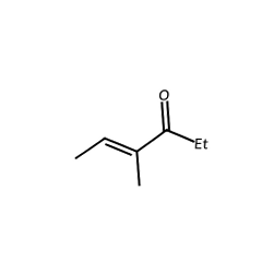 C/C=C(\C)C(=O)CC